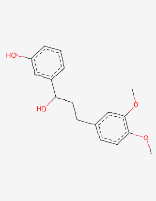 COc1ccc(CCC(O)c2cccc(O)c2)cc1OC